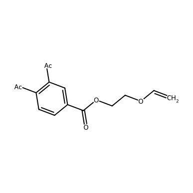 C=COCCOC(=O)c1ccc(C(C)=O)c(C(C)=O)c1